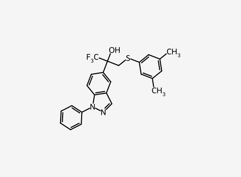 Cc1cc(C)cc(SCC(O)(c2ccc3c(cnn3-c3ccccc3)c2)C(F)(F)F)c1